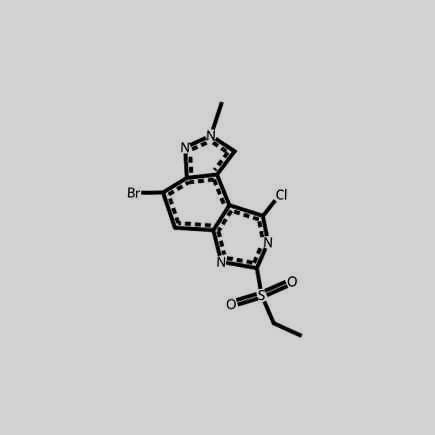 CCS(=O)(=O)c1nc(Cl)c2c(cc(Br)c3nn(C)cc32)n1